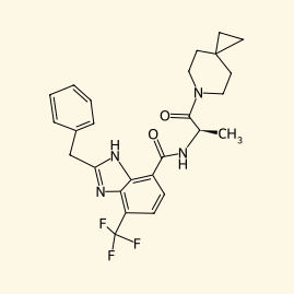 C[C@@H](NC(=O)c1ccc(C(F)(F)F)c2nc(Cc3ccccc3)[nH]c12)C(=O)N1CCC2(CC1)CC2